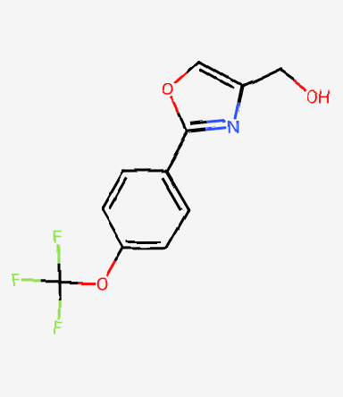 OCc1coc(-c2ccc(OC(F)(F)F)cc2)n1